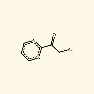 CC(=O)CC(=O)c1ncccn1